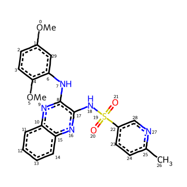 COc1ccc(OC)c(Nc2nc3ccccc3nc2NS(=O)(=O)c2ccc(C)nc2)c1